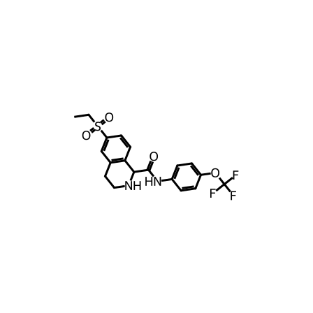 CCS(=O)(=O)c1ccc2c(c1)CCNC2C(=O)Nc1ccc(OC(F)(F)F)cc1